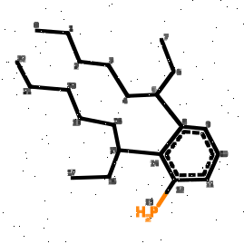 CCCCCC(CC)c1cccc(P)c1C(CC)CCCCC